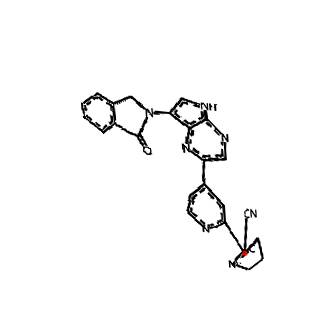 N#CC1(c2cc(-c3cnc4[nH]cc(N5Cc6ccccc6C5=O)c4n3)ccn2)CN2CCC1CC2